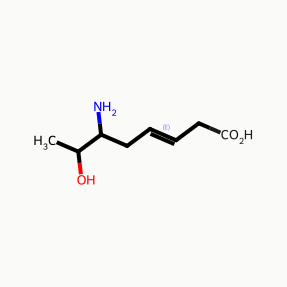 CC(O)C(N)C/C=C/CC(=O)O